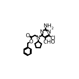 Nc1nc(Cl)c(C=O)c(N(CC(=O)OCc2ccccc2)C2CCCC2)n1